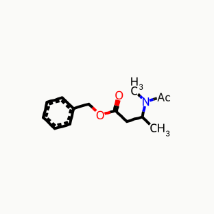 CC(=O)N(C)C(C)CC(=O)OCc1ccccc1